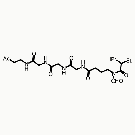 CCC(C(=O)N(C=O)CCCC(=O)NCC(=O)NCC(=O)NCC(=O)NCCC(C)=O)C(C)C